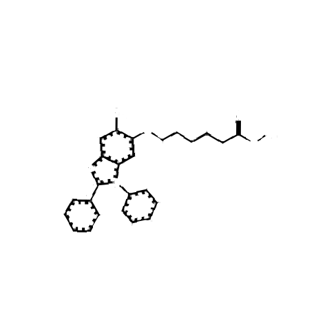 COC(=O)CCCCCOc1cc2c(cc1N)nc(-c1ccccc1)n2-c1ccccc1